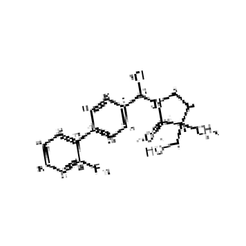 CC1(CO)CCN(C(Cl)c2ccc(-c3ccccc3F)cc2)C1=O